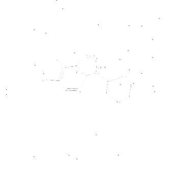 Brc1cnc2c(cnn2C2CCCCO2)c1I